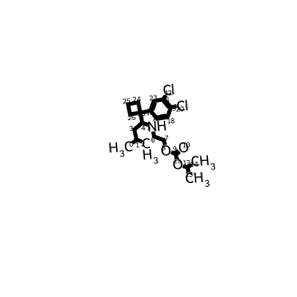 CC(C)CC(NCCOC(=O)OC(C)C)C1(c2ccc(Cl)c(Cl)c2)CCC1